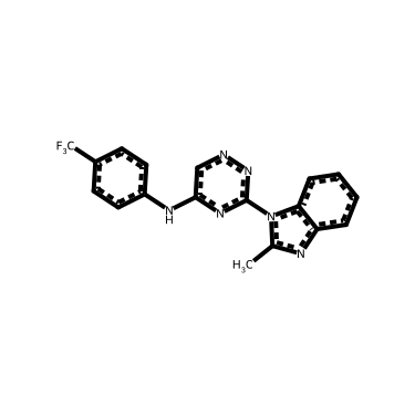 Cc1nc2ccccc2n1-c1nncc(Nc2ccc(C(F)(F)F)cc2)n1